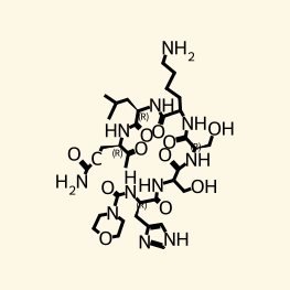 CC(=O)[C@@H](CCC(N)=O)NC(=O)[C@@H](CC(C)C)NC(=O)C(CCCCN)NC(=O)[C@@H](CO)NC(=O)C(CO)NC(=O)[C@@H](Cc1c[nH]cn1)NC(=O)N1CCOCC1